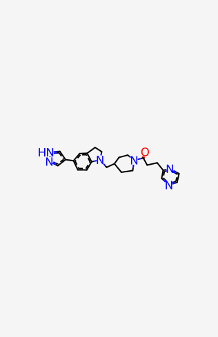 O=C(CCc1cnccn1)N1CCC(CN2CCc3cc(-c4cn[nH]c4)ccc32)CC1